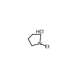 CCN1CCCC1.Cl